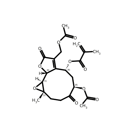 C=C(C)C(=O)O[C@@H]1C[C@@H](OC(C)=O)C(=O)CC[C@]2(C)O[C@H]2[C@@H]2OC(=O)C(COC(C)=O)=C21